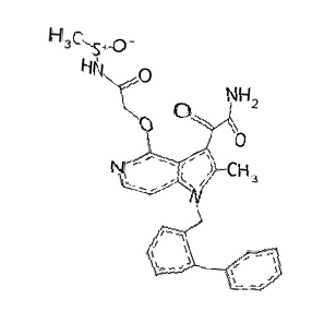 Cc1c(C(=O)C(N)=O)c2c(OCC(=O)N[S+](C)[O-])nccc2n1Cc1ccccc1-c1ccccc1